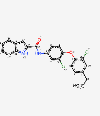 O=C(O)Cc1ccc(Oc2ccc(NC(=O)c3cc4ccccc4[nH]3)cc2Cl)c(Cl)c1